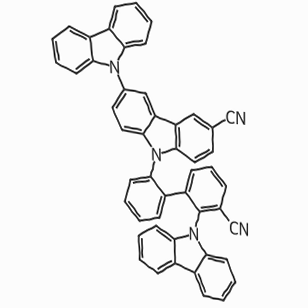 N#Cc1ccc2c(c1)c1cc(-n3c4ccccc4c4ccccc43)ccc1n2-c1ccccc1-c1cccc(C#N)c1-n1c2ccccc2c2ccccc21